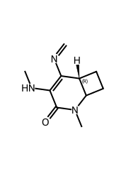 C=NC1=C(NC)C(=O)N(C)C2CC[C@@H]12